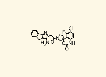 Nc1c2c(nn1CC(=O)N1CC[C@@]3(C1)OC(=O)Nc1ccc(Cl)c(F)c13)-c1ccccc1C2